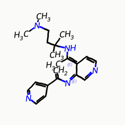 C=C(/N=C1/C=NC=C/C1=C(/C)NC(C)(C)CCN(C)C)c1ccncc1